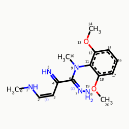 CN/C=C\C(=N)/C(=N/N)N(C)c1c(OC)cccc1OC